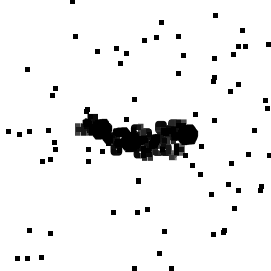 CN(Cc1ccccc1)C(=O)NC[C@H](NC(=O)c1c(Cl)cc2c(c1Cl)CCN(Cc1ccc3nc[nH]c3c1)C2=O)C(=O)O